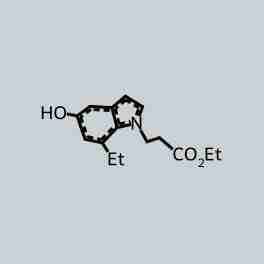 CCOC(=O)CCn1ccc2cc(O)cc(CC)c21